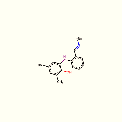 Cc1cc(C(C)(C)C)cc(Pc2ccccc2/C=N/C(C)(C)C)c1O